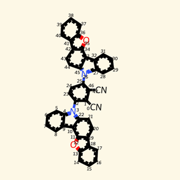 N#Cc1c(-n2c3ccccc3c3c4oc5ccccc5c4ccc32)ccc(-n2c3ccccc3c3c4oc5ccccc5c4ccc32)c1C#N